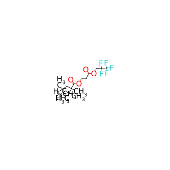 CCC(C)(C)CC(C)(C(=O)OCCC(=O)OCC(F)(F)C(F)(F)F)C(C)(C)C